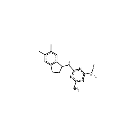 Cc1cc2c(cc1C)C(Nc1nc(N)nc([C@@H](C)F)n1)CC2